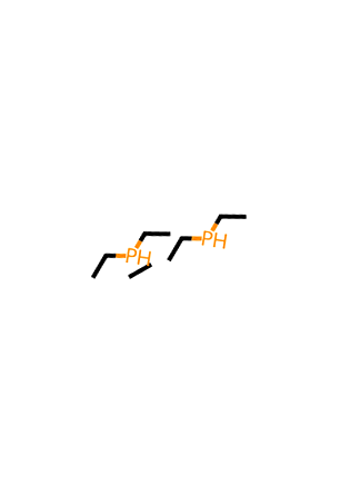 CC.CCPCC.CCPCC